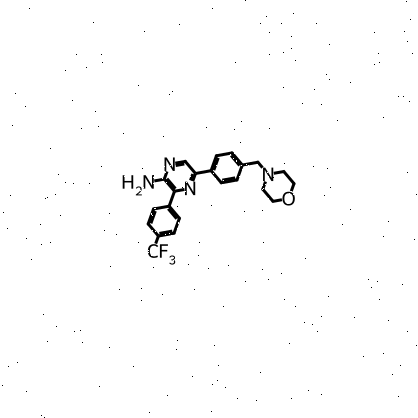 Nc1ncc(-c2ccc(CN3CCOCC3)cc2)nc1-c1ccc(C(F)(F)F)cc1